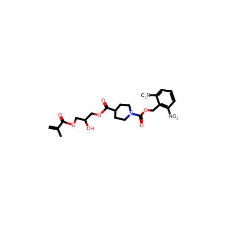 C=C(C)C(=O)OCC(O)COC(=O)C1CCN(C(=O)OCc2c([N+](=O)[O-])cccc2[N+](=O)[O-])CC1